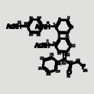 CC(=O)Nc1ccccc1.CC(=O)Nc1ccccc1.CC(=O)Nc1ccccc1.O=C(CF)Nc1ccccc1